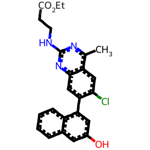 CCOC(=O)CCNc1nc(C)c2cc(Cl)c(-c3cc(O)cc4ccccc34)cc2n1